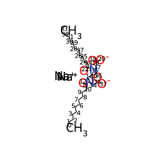 CCCCCCCCCCCC(=O)N(CCN(CC(=O)[O-])C(=O)CCCCCCCCCCC)CC(=O)[O-].[Na+].[Na+]